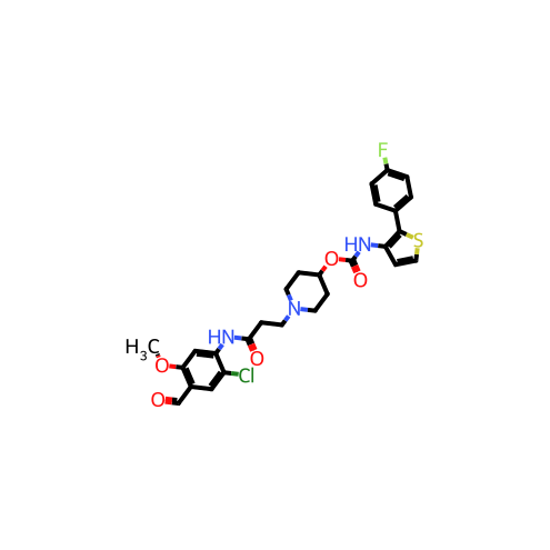 COc1cc(NC(=O)CCN2CCC(OC(=O)Nc3ccsc3-c3ccc(F)cc3)CC2)c(Cl)cc1C=O